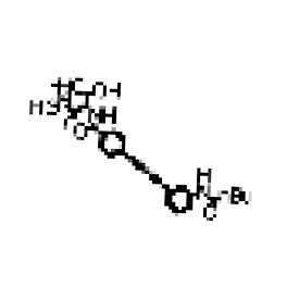 CCCCC(=O)Nc1cccc(C#CC#Cc2ccc(C(=O)N[C@H](C(=O)NO)[C@@H](C)O)cc2)c1